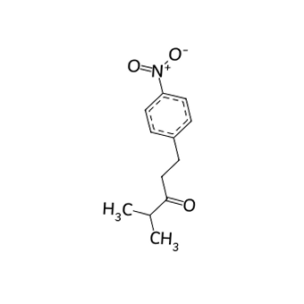 CC(C)C(=O)CCc1ccc([N+](=O)[O-])cc1